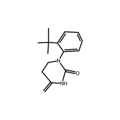 C=C1CCN(c2ccccc2C(C)(C)C)C(=O)N1